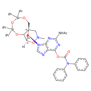 CC(=O)Nc1nc(OC(=O)N(c2ccccc2)c2ccccc2)c2ncn([C@@H]3O[C@]45CO[Si](C(C)C)(C(C)C)O[Si](C(C)C)(C(C)C)OC4[C@@H]3ON(C)C5)c2n1